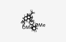 COCCN(C)c1ccc2nc(C3CC3)nc(N3CCC(c4ccccc4OC)CC3)c2c1